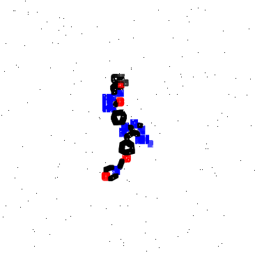 Cc1cc(NC(=O)Nc2ccc(-n3nc(-c4ccc(OCCN5CCOCC5)cc4)c4c(N)ncnc43)cc2)no1